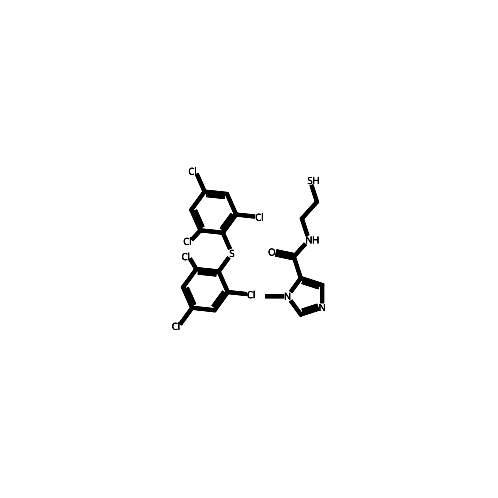 Clc1cc(Cl)c(Sc2c(Cl)cc(Cl)cc2Cl)c(Cl)c1.Cn1cncc1C(=O)NCCS